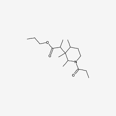 CCCOC(=O)C(C)C1(C)C(C)CCN(C(=O)CC)C1C